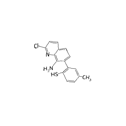 Cc1ccc(S)c(-c2ccc3ccc(Cl)nc3c2N)c1